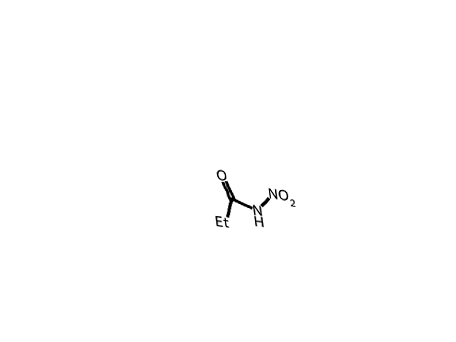 CCC(=O)N[N+](=O)[O-]